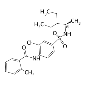 CCC(CC)[C@@H](C)NS(=O)(=O)c1ccc(NC(=O)c2ccccc2C)c(Cl)c1